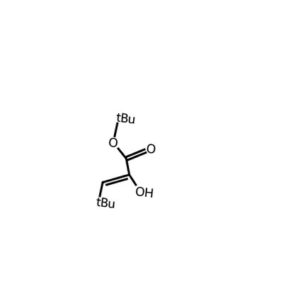 CC(C)(C)C=C(O)C(=O)OC(C)(C)C